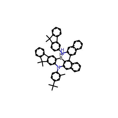 Cc1cc(C(C)(C)C)ccc1N1c2cc3c(cc2Bc2c1cc1ccccc1c2-c1cc2ccccc2cc1Nc1ccc2c(c1)-c1ccccc1C2(C)C)-c1ccccc1C3(C)C